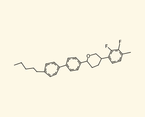 CCCCCc1ccc(-c2ccc(C3CCC(c4ccc(C)c(F)c4F)CO3)cc2)cc1